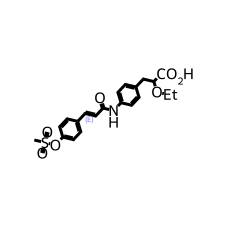 CCOC(Cc1ccc(NC(=O)/C=C/c2ccc(OS(C)(=O)=O)cc2)cc1)C(=O)O